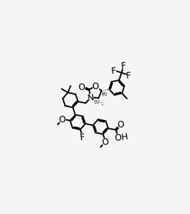 COc1cc(-c2cc(C3=C(CN4C(=O)O[C@H](c5cc(C)cc(C(F)(F)F)c5)[C@@H]4C)CC(C)(C)CC3)c(OC)cc2F)ccc1C(=O)O